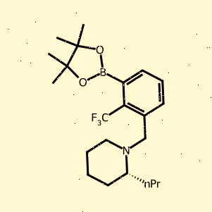 CCC[C@@H]1CCCCN1Cc1cccc(B2OC(C)(C)C(C)(C)O2)c1C(F)(F)F